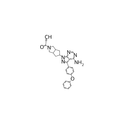 C#CC(=O)N1CC2CC(n3nc(-c4ccc(Oc5ccccc5)cc4)c4c(N)ncnc43)CC2C1